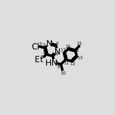 CCc1c(Cl)ncnc1NC(C)c1ccc(C)cc1